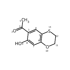 CC(=O)c1cc2c(cc1O)OCCS2